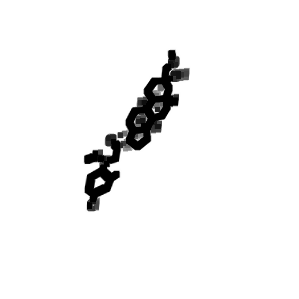 C=NN(CC(=O)[C@H]1CC[C@H]2[C@@H]3CC[C@H]4C[C@@](O)(COC)CC[C@]4(C)[C@H]3CC[C@]12C)c1ccc(Cl)cc1C